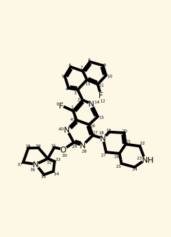 Fc1c(-c2cccc3cccc(F)c23)ncc2c(N3CC=C4CNCCC4C3)nc(OCC34CCCN3CCC4)nc12